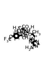 Cc1cc(OC(F)(F)F)ccc1C(C)NP(=O)(COC(C)Cn1cnc2c(N)ncnc21)NC(C)(C)C(=O)O